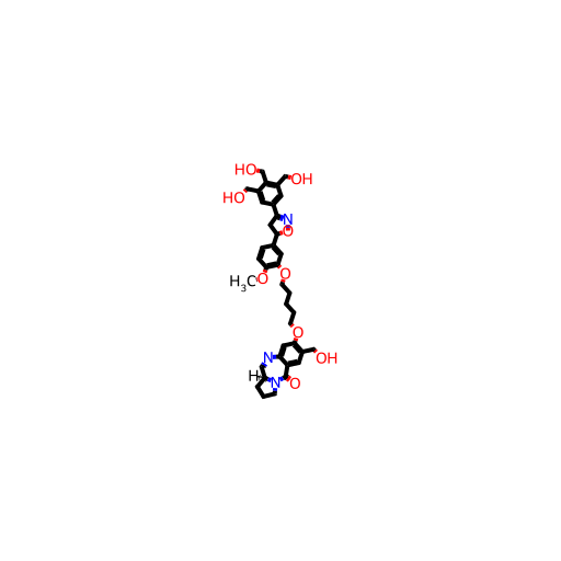 COc1ccc(C2CC(c3cc(CO)c(CO)c(CO)c3)=NO2)cc1OCCCCCOc1cc2c(cc1CO)C(=O)N1CCC[C@H]1C=N2